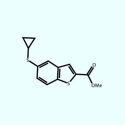 COC(=O)c1cc2cc(SC3CC3)ccc2s1